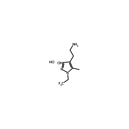 Cc1c(CCN)cnn1CC(F)(F)F.Cl.Cl